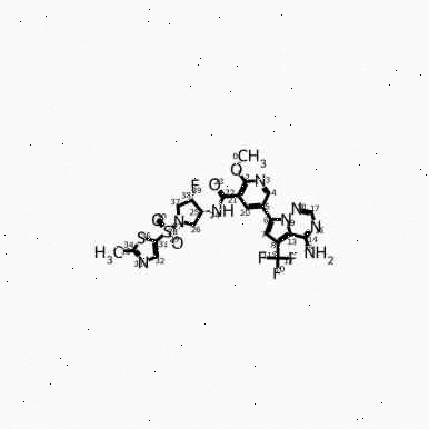 COc1ncc(-c2cc(C(F)(F)F)c3c(N)ncnn23)cc1C(=O)N[C@@H]1CN(S(=O)(=O)c2cnc(C)s2)C[C@@H]1F